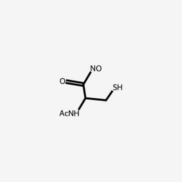 CC(=O)NC(CS)C(=O)N=O